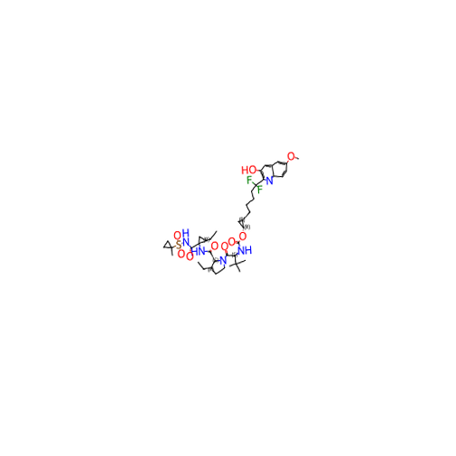 CC[C@@H]1CCN(C(=O)[C@@H](NC(=O)O[C@@H]2C[C@H]2CCCCC(F)(F)c2nc3ccc(OC)cc3cc2O)C(C)(C)C)[C@@H]1C(=O)NC1(C(=O)NS(=O)(=O)C2(C)CC2)C[C@H]1CC